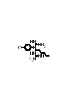 CCCCCC(NC(=N)N)N(C(=N)N)c1ccc(Cl)cc1